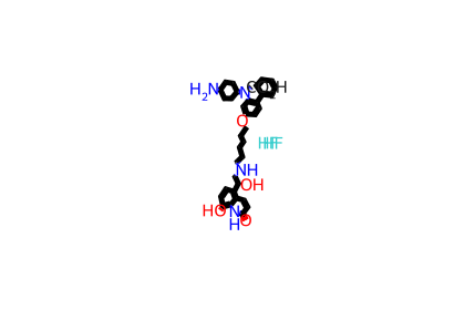 F.F.NC1CCC(N(C(=O)O)c2cc(OCCCCCCNC[C@H](O)c3ccc(O)c4[nH]c(=O)ccc34)ccc2-c2ccccc2)CC1